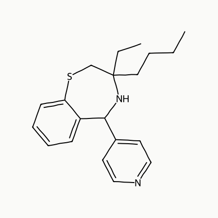 CCCCC1(CC)CSc2ccccc2C(c2ccncc2)N1